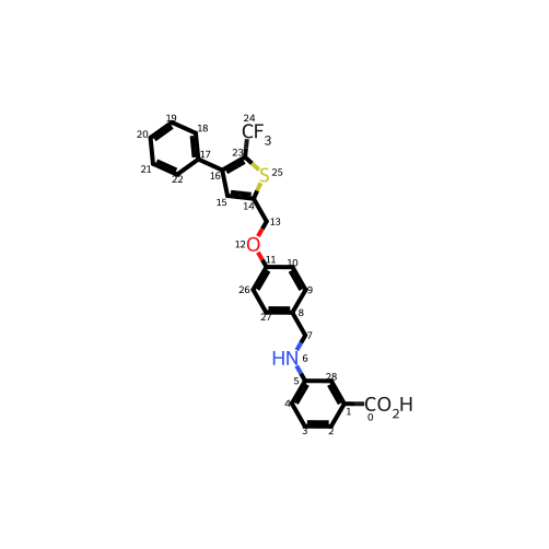 O=C(O)c1cccc(NCc2ccc(OCc3cc(-c4ccccc4)c(C(F)(F)F)s3)cc2)c1